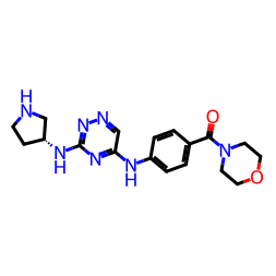 O=C(c1ccc(Nc2cnnc(N[C@@H]3CCNC3)n2)cc1)N1CCOCC1